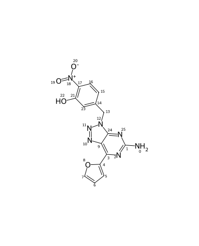 Nc1nc(-c2ccco2)c2nnn(Cc3ccc([N+](=O)[O-])c(O)c3)c2n1